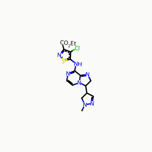 CCOC(=O)c1nsc(NC2=NC=CN3C2=NCC3C2C=NN(C)C2)c1Cl